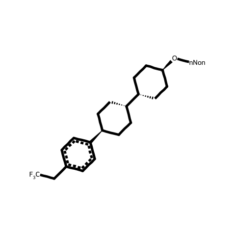 CCCCCCCCCO[C@H]1CC[C@H]([C@H]2CC[C@H](c3ccc(CC(F)(F)F)cc3)CC2)CC1